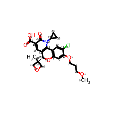 COCCCOc1cc2c(cc1Cl)-c1c(cc(C(=O)O)c(=O)n1C1CC1)[C@@H](C1(C)COC1)O2